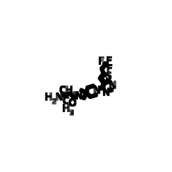 CC(C)(N)CC(=O)N1CC2(CCN(c3ncnc4sc(CC(F)(F)F)cc34)CC2)C1